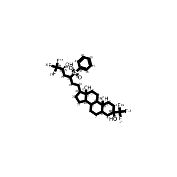 CC12CCC3C(CCC4CC(O)(C(F)(F)F)CCC43C)C1CCC2CCC(C[C@H](O)C(F)(F)F)S(=O)(=O)c1ccccc1